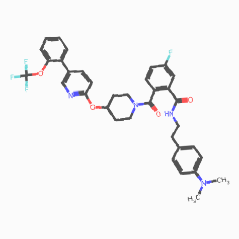 CN(C)c1ccc(CCNC(=O)c2cc(F)ccc2C(=O)N2CCC(Oc3ccc(-c4ccccc4OC(F)(F)F)cn3)CC2)cc1